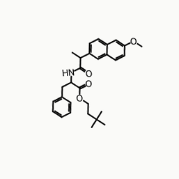 COc1ccc2cc(C(C)C(=O)NC(Cc3ccccc3)C(=O)OCCC(C)(C)C)ccc2c1